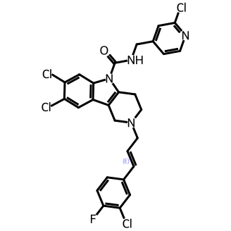 O=C(NCc1ccnc(Cl)c1)n1c2c(c3cc(Cl)c(Cl)cc31)CN(C/C=C/c1ccc(F)c(Cl)c1)CC2